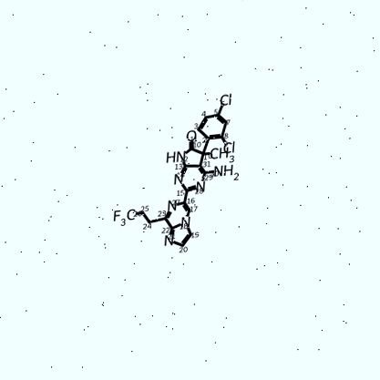 CC1(c2ccc(Cl)cc2Cl)C(=O)Nc2nc(-c3cn4ccnc4c(CCC(F)(F)F)n3)nc(N)c21